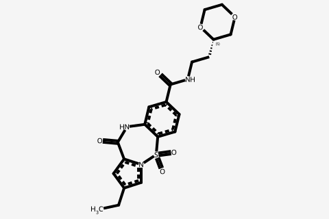 CCc1cc2n(c1)S(=O)(=O)c1ccc(C(=O)NCC[C@H]3COCCO3)cc1NC2=O